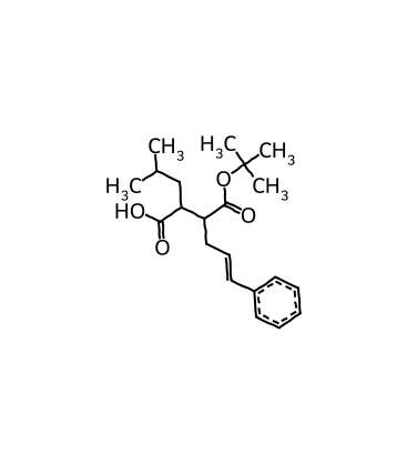 CC(C)CC(C(=O)O)C(C/C=C/c1ccccc1)C(=O)OC(C)(C)C